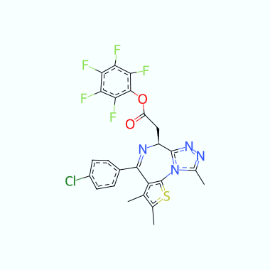 Cc1sc2c(c1C)C(c1ccc(Cl)cc1)=N[C@@H](CC(=O)Oc1c(F)c(F)c(F)c(F)c1F)c1nnc(C)n1-2